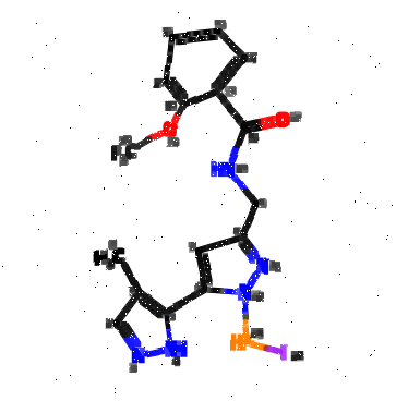 Cc1cn[nH]c1-c1cc(CNC(=O)c2ccccc2OC(F)(F)F)nn1PI